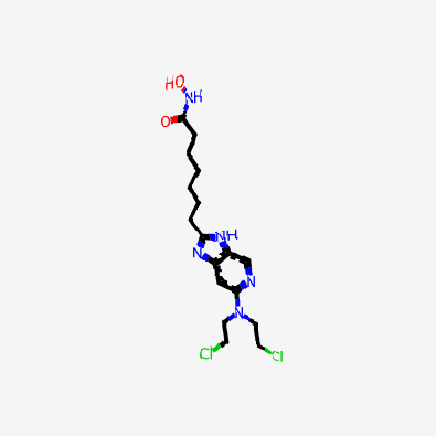 O=C(CCCCCCc1nc2cc(N(CCCl)CCCl)ncc2[nH]1)NO